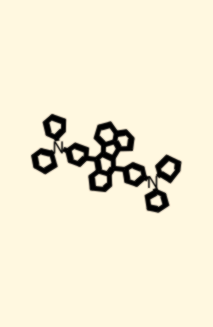 c1ccc(N(c2ccccc2)c2ccc(-c3c4c(c(-c5ccc(N(c6ccccc6)c6ccccc6)cc5)c5ccccc35)-c3cccc5cccc-4c35)cc2)cc1